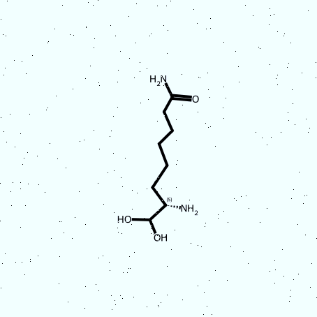 NC(=O)CCCCC[C@H](N)C(O)O